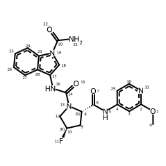 COc1cc(NC(=O)[C@@H]2C[C@@H](F)CN2C(=O)Nc2cn(C(N)=O)c3ccccc23)ccn1